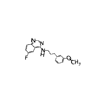 COc1cccc(CCCNc2ncnc3ccc(F)cc23)c1